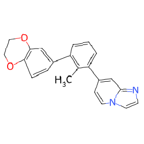 Cc1c(-c2ccc3c(c2)OCCO3)cccc1-c1ccn2ccnc2c1